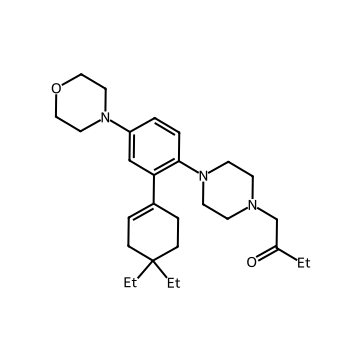 CCC(=O)CN1CCN(c2ccc(N3CCOCC3)cc2C2=CCC(CC)(CC)CC2)CC1